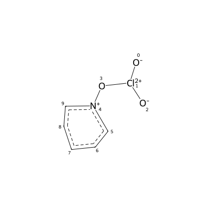 [O-][Cl+2]([O-])O[n+]1ccccc1